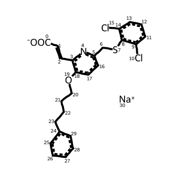 O=C([O-])/C=C/c1nc(CSc2c(Cl)cccc2Cl)ccc1OCCCCc1ccccc1.[Na+]